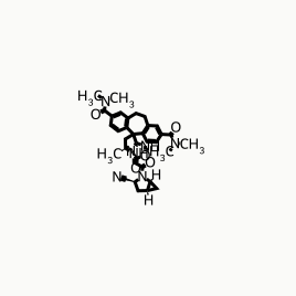 C[C@H](CC1(c2nc(=O)o[nH]2)c2ccc(C(=O)N(C)C)cc2CCc2cc(C(=O)N(C)C)ccc21)NCC(=O)N1[C@H](C#N)C[C@@H]2C[C@@H]21